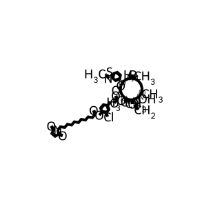 C=CC[C@H]1C(=O)C(C)(C)[C@@H](OC(=O)OCc2ccc(OC(=O)CCCCCCCCCCN3C(=O)C=CC3=O)c(Cl)c2)CC(=O)O[C@H](c2ccc3sc(C)nc3c2)C[C@@H]2O[C@]2(C)CCC[C@H](C)[C@@H]1O